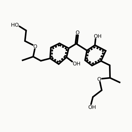 CC(Cc1ccc(C(=O)c2ccc(CC(C)OCCO)cc2O)c(O)c1)OCCO